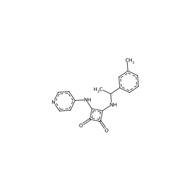 Cc1cccc(C(C)Nc2c(Nc3ccncc3)c(=O)c2=O)c1